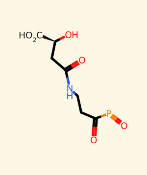 O=PC(=O)CCNC(=O)C[C@H](O)C(=O)O